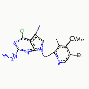 CCc1cnc(Cn2cc(I)c3c(Cl)nc(N)nc32)c(C)c1OC